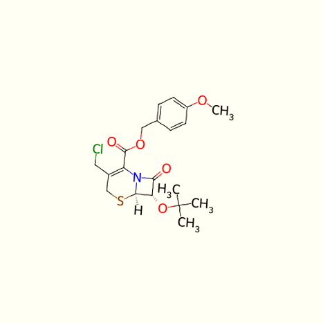 COc1ccc(COC(=O)C2=C(CCl)CS[C@@H]3[C@@H](OC(C)(C)C)C(=O)N23)cc1